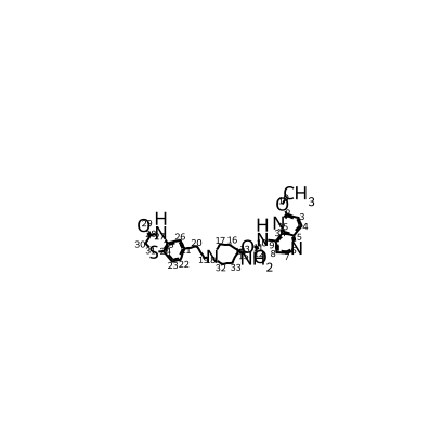 COc1ccc2nccc(NC(=O)OC3(N)CCN(CCc4ccc5c(c4)NC(=O)CS5)CC3)c2n1